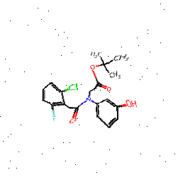 CC(C)(C)OC(=O)CN(C(=O)c1c(F)cccc1Cl)c1cccc(O)c1